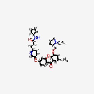 Cc1cc(OC[C@@H]2CCCN2C)c2oc3cc(Oc4ccc(CCC(=O)NC5CCCC5)nc4)ccc3c(=O)c2c1